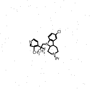 Cc1cnccc1C(C)(F)CN1c2ccc(Cl)cc2C2CCN(C(C)C)CCC21